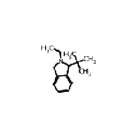 CCN1Cc2ccccc2C1C(C)(C)C